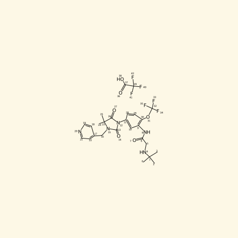 CC(C)(C)NCC(=O)Nc1cc(N2C(=O)N(Cc3ccncc3)C(C)(C)C2=O)ccc1OC(F)(F)F.O=C(O)C(F)(F)F